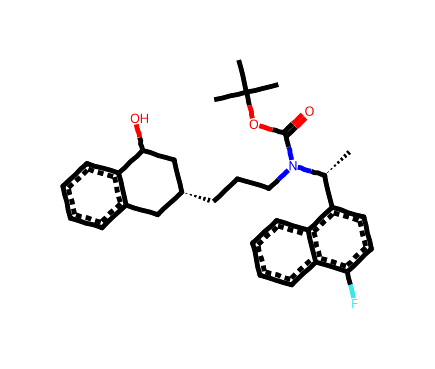 C[C@H](c1ccc(F)c2ccccc12)N(CCC[C@@H]1Cc2ccccc2C(O)C1)C(=O)OC(C)(C)C